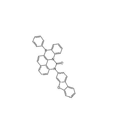 O=C1N(c2ccc3c(c2)oc2ccccc23)c2cccc3ccc4c(c23)N1c1ccccc1B4c1ccccc1